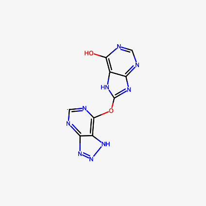 Oc1ncnc2nc(Oc3n[c]nc4nn[nH]c34)[nH]c12